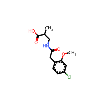 COc1cc(Cl)ccc1CC(=O)NCC(C)C(=O)O